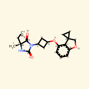 CC[C@@]1(C)NC(=O)N(C2CC(Oc3cccc4c3C3(CC3)CO4)C2)C1=O